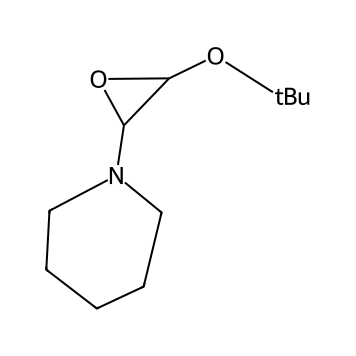 CC(C)(C)OC1OC1N1CCCCC1